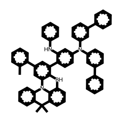 Cc1ccccc1-c1cc(-c2ccc(N(c3cccc(-c4ccccc4)c3)c3cccc(-c4ccccc4)c3)cc2Nc2ccccc2)c2c(c1)N1c3ccccc3C(C)(C)c3cccc(c31)B2